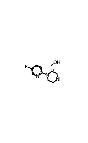 OC[C@@H]1CNCCN1c1ccc(F)cn1